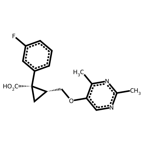 Cc1ncc(OC[C@@H]2C[C@@]2(C(=O)O)c2cccc(F)c2)c(C)n1